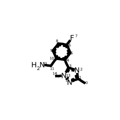 Cc1nc(-c2cc(F)ccc2CN)n(C)n1